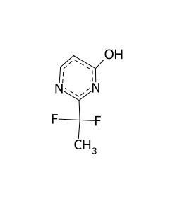 CC(F)(F)c1nccc(O)n1